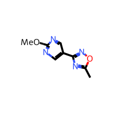 COc1ncc(-c2noc(C)n2)cn1